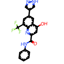 O=C(Nc1ccccc1)c1cc(O)c2cc(-c3cn[nH]c3)cc(C(F)(F)F)c2n1